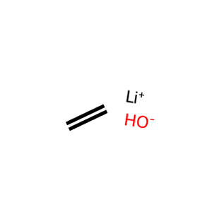 C=C.[Li+].[OH-]